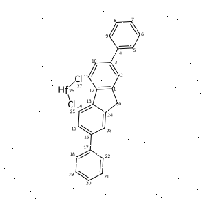 [CH]1c2cc(-c3ccccc3)ccc2-c2ccc(-c3ccccc3)cc21.[Cl][Hf][Cl]